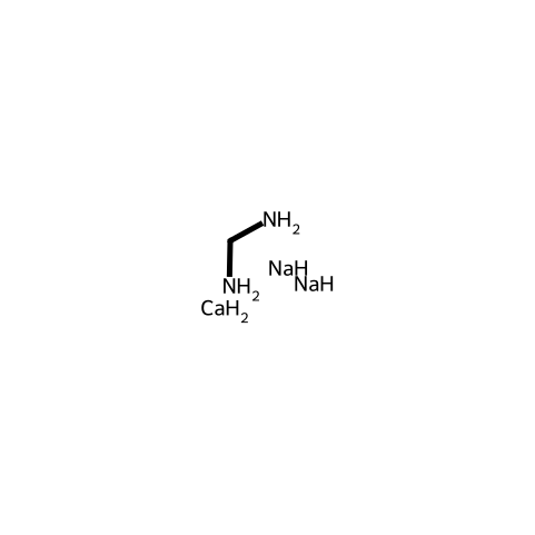 NCN.[CaH2].[NaH].[NaH]